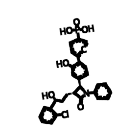 O=C1[C@H](CC[C@H](O)c2ccccc2Cl)[C@@H](c2ccc(-c3ccc(P(=O)(O)O)cc3)c(O)c2)N1c1ccccc1